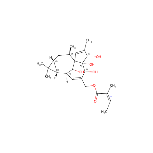 C/C=C(/C)C(=O)OCC1=C[C@@H]2C(O)C3(C=C(C)[C@H](O)[C@@]3(O)[C@@H]1O)[C@H](C)C[C@@H]1[C@H]2C1(C)C